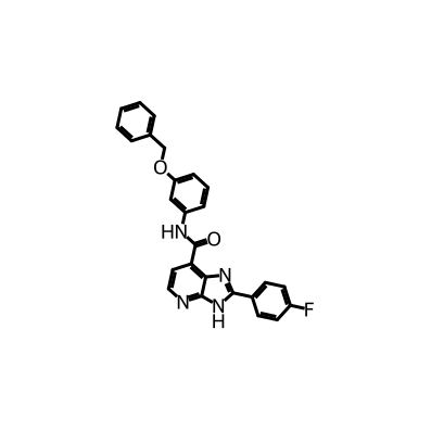 O=C(Nc1cccc(OCc2ccccc2)c1)c1ccnc2[nH]c(-c3ccc(F)cc3)nc12